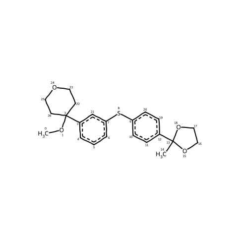 COC1(c2cccc(Sc3ccc(C4(C)OCCO4)cc3)c2)CCOCC1